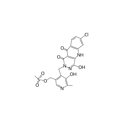 Cc1ncc(COS(C)(=O)=O)c(Cn2nc(O)c3[nH]c4cc(Cl)ccc4c(=O)c3c2=O)c1O